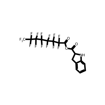 O=C(OC(=O)C(F)(F)C(F)(F)C(F)(F)C(F)(F)C(F)(F)C(F)(F)C(F)(F)F)C1Cc2ccccc2N1